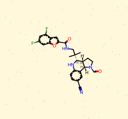 CC(C)(CNC(=O)c1cc2c(F)cc(F)cc2o1)[C@H]1Nc2ccc(C#N)cc2[C@@H]2[C@H]1CCN2C=O